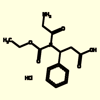 CCOC(=O)N(C(=O)CN)C(CC(=O)O)c1ccccc1.Cl